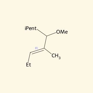 CC/C=C(\C)C(OC)C(C)CCC